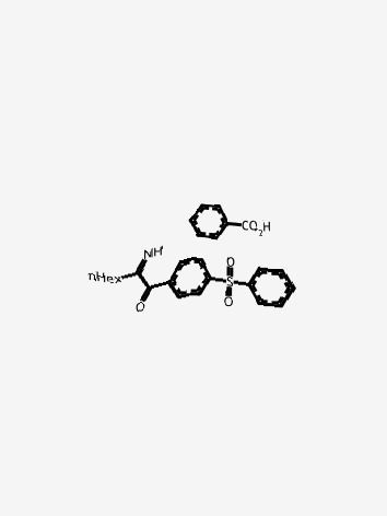 CCCCCCC(=N)C(=O)c1ccc(S(=O)(=O)c2ccccc2)cc1.O=C(O)c1ccccc1